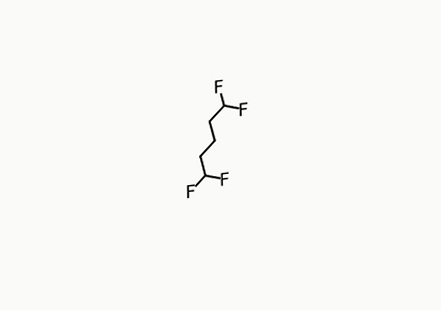 FC(F)CCCC(F)F